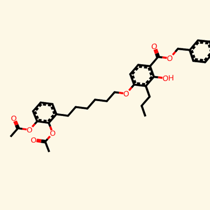 CCCc1c(OCCCCCCc2cccc(OC(C)=O)c2OC(C)=O)ccc(C(=O)OCc2ccccc2)c1O